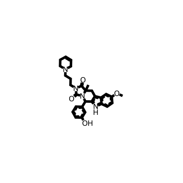 COc1ccc2[nH]c3c(c2c1)CC1(C)C(=O)N(CCCN2CC=CCC2)C(=O)N1C3c1cccc(O)c1